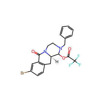 O=C1c2cc(Br)ccc2C[C@@H]2C(OC(=O)C(F)(F)F)N(Cc3ccccc3)CCN12